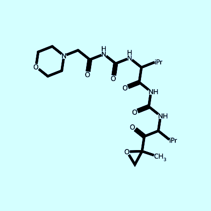 CC(C)C(NC(=O)NC(=O)CN1CCOCC1)C(=O)NC(=O)NC(C(=O)C1(C)CO1)C(C)C